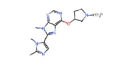 Cc1ncc(-c2nc3c(OC4CCN(C(=O)O)C4)ncnc3n2C)n1C